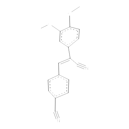 COc1ccc(C(C#N)=Cc2ccc(C#N)cc2)cc1OC